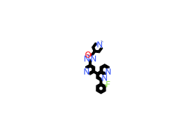 CN1CCC(c2nc(-c3cncc(-c4cc(-c5ccccc5F)nc5ncccc45)c3)no2)CC1